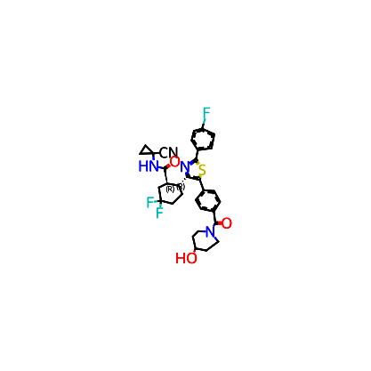 N#CC1(NC(=O)[C@@H]2CC(F)(F)CC[C@H]2c2nc(-c3ccc(F)cc3)sc2-c2ccc(C(=O)N3CCC(O)CC3)cc2)CC1